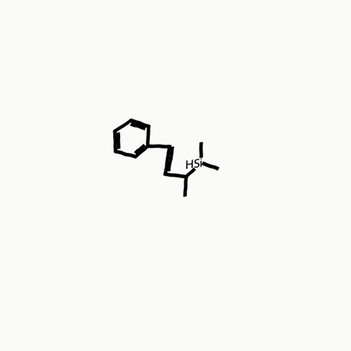 CC(C=Cc1ccccc1)[SiH](C)C